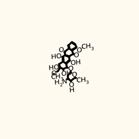 COCC1(O)Cc2c(O)c3c(c(O)c2C(OC2CC(N)C(O)C(C)O2)C1O)C(=O)c1c(OC)cccc1C3=O